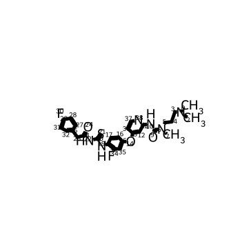 CN(C)CCCN(C)C(=O)Nc1cc(Oc2ccc(NC(=S)NC(=O)Cc3ccc(F)cc3)c(F)c2)ccn1